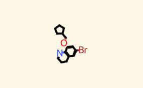 Brc1cc2c(c(OCC3CCCC3)c1)N=CCC2